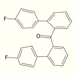 O=C(c1ccccc1-c1ccc(F)cc1)c1ccccc1-c1ccc(F)cc1